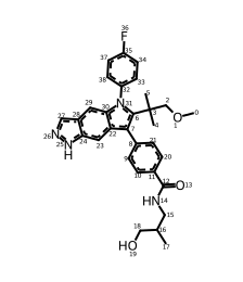 COCC(C)(C)c1c(-c2ccc(C(=O)NCC(C)CO)cc2)c2cc3[nH]ncc3cc2n1-c1ccc(F)cc1